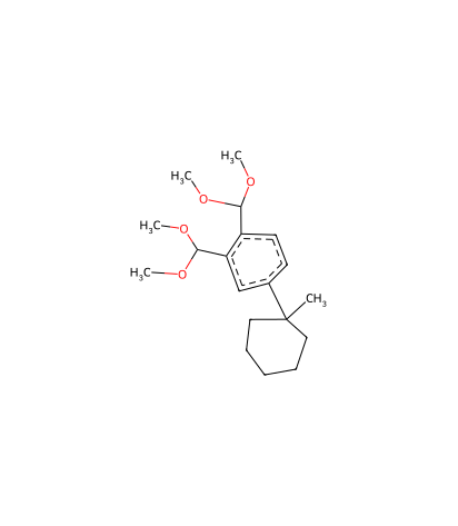 COC(OC)c1ccc(C2(C)CCCCC2)cc1C(OC)OC